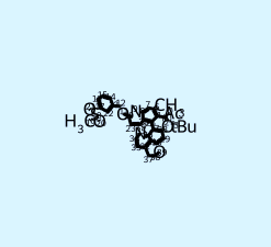 CC(=O)[C@@H](OC(C)(C)C)c1c(C)cc2nc(OCc3cccc(S(C)(=O)=O)c3)ccc2c1-c1ccc2c3c(ccnc13)CCO2